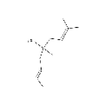 CCCC(C)(CC=C(C)C)CC=C(C)C